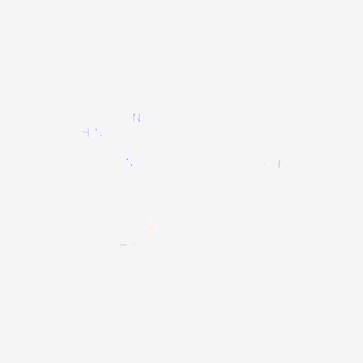 COCCc1nc(N)ncc1-c1ccc(C)cc1